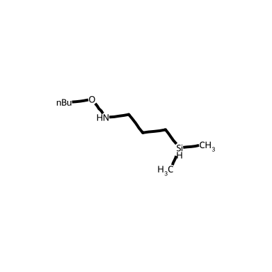 CCCCONCCC[SiH](C)C